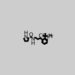 CC(C)C(C)(C)c1ccccc1C(CCNC(=O)[C@@H]1CCCN1)C(=O)O